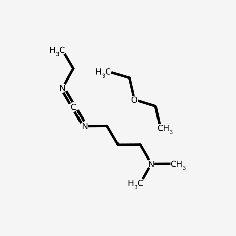 CCN=C=NCCCN(C)C.CCOCC